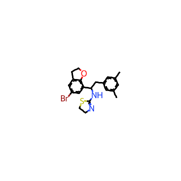 Cc1cc(C)cc(CC(NC2=NCCS2)c2cc(Br)cc3c2OCC3)c1